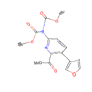 COC(=O)c1nc(N(C(=O)OC(C)(C)C)C(=O)OC(C)(C)C)ccc1-c1ccoc1